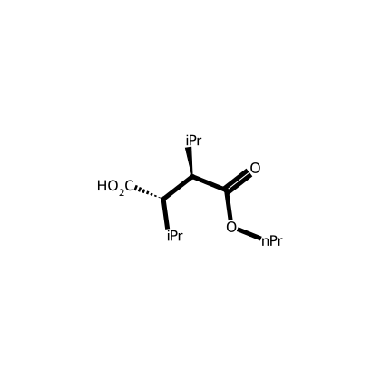 CCCOC(=O)[C@H](C(C)C)[C@@H](C(=O)O)C(C)C